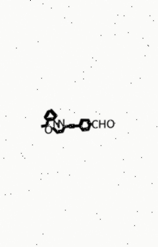 CC(Oc1ccc(C#Cc2ccc(C=O)cc2)nn1)c1ccccc1